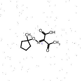 CC(=O)/C(=N/OC1(C)CCCC1)C(=O)O